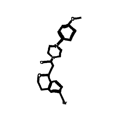 COc1ccc(N2CCN(C(=O)CC3OCCc4cc(Br)ccc43)CC2)cc1